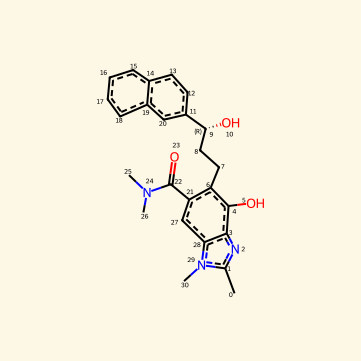 Cc1nc2c(O)c(CC[C@@H](O)c3ccc4ccccc4c3)c(C(=O)N(C)C)cc2n1C